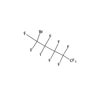 FC(F)(F)C(F)(F)C(F)(F)C(F)(I)C(F)(F)Br